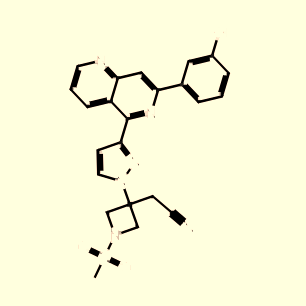 CS(=O)(=O)N1CC(CC#N)(n2ccc(-c3nc(-c4cccc(O)c4)cc4ncccc34)n2)C1